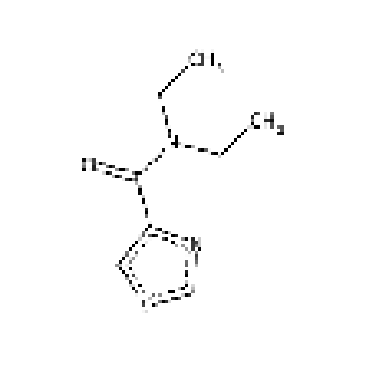 CCN(CC)C(=O)c1cscn1